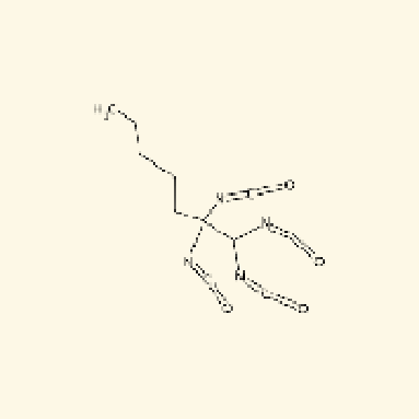 CCCCCC(N=C=O)(N=C=O)C(N=C=O)N=C=O